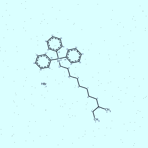 Br.CCC(C)CCCCCCCC[PH](c1ccccc1)(c1ccccc1)c1ccccc1